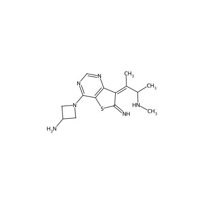 CNC(C)/C(C)=C1\C(=N)Sc2c1ncnc2N1CC(N)C1